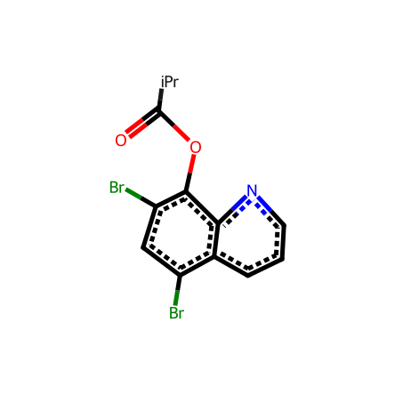 CC(C)C(=O)Oc1c(Br)cc(Br)c2cccnc12